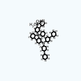 CC1(C)c2ccc(C3(c4ccccc4)c4ccccc4-c4ccc(N(c5ccc(-c6ccccc6)cc5)c5ccc(-c6ccccc6)cc5)cc43)cc2-c2ccncc21